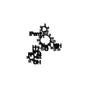 CCCC(C)[C@]1(c2ccccc2)CCCC(CC2(O)CCC2)C(C)C(=O)N(CCC(=O)NC2N=CC=C(O)C2CC)CCC1